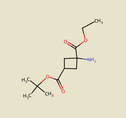 CCOC(=O)C1(N)CC(C(=O)OC(C)(C)C)C1